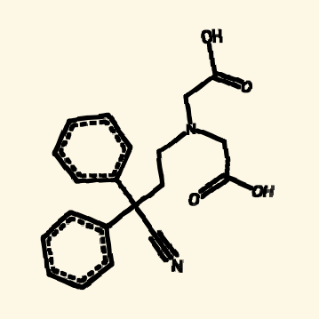 N#CC(CCN(CC(=O)O)CC(=O)O)(c1ccccc1)c1ccccc1